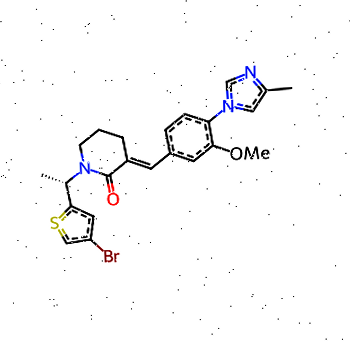 COc1cc(/C=C2\CCCN([C@@H](C)c3cc(Br)cs3)C2=O)ccc1-n1cnc(C)c1